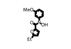 CCc1ccc(C(=O)N(O)c2cccc(OC)c2)o1